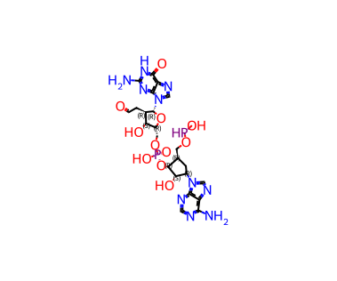 Nc1nc2c(ncn2[C@@H]2O[C@H](COP(=O)(O)O[C@@H]3[C@@H](COPO)C[C@@H](n4cnc5c(N)ncnc54)[C@@H]3O)[C@@H](O)[C@H]2CC=O)c(=O)[nH]1